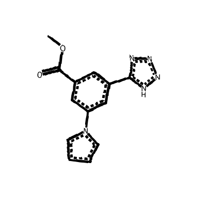 COC(=O)c1cc(-c2nnn[nH]2)cc(-n2cccc2)c1